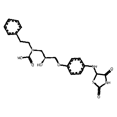 O=C1NC(=O)C(Nc2ccc(OC[C@@H](O)CN(CCc3ccccc3)C(=O)O)cc2)S1